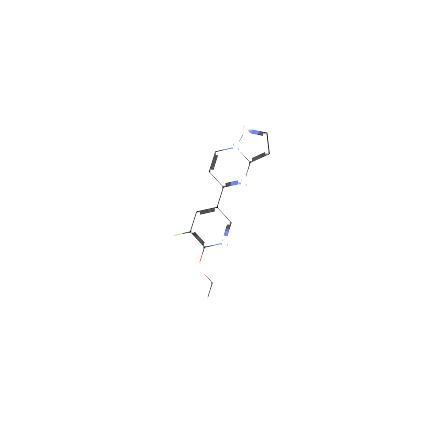 Fc1cc(-c2ccn3nccc3n2)cnc1OCC(F)(F)F